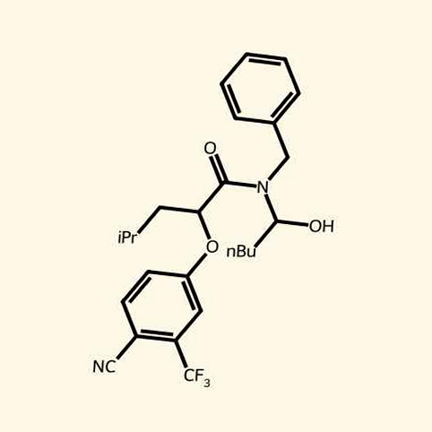 CCCCC(O)N(Cc1ccccc1)C(=O)C(CC(C)C)Oc1ccc(C#N)c(C(F)(F)F)c1